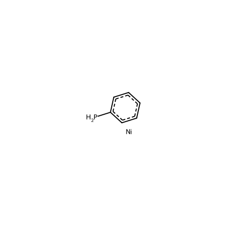 Pc1ccccc1.[Ni]